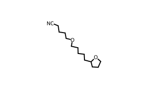 N#CCCCCOCCCCCC1CCCO1